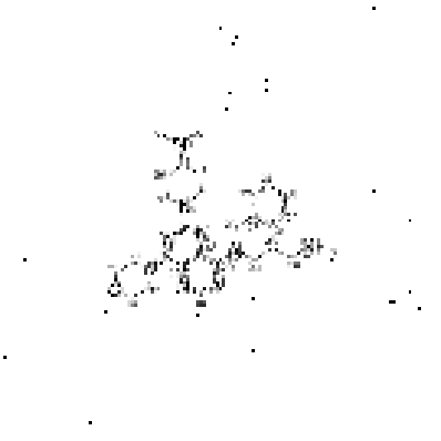 CN(C)C1CCN(c2nc(N3CCOCC3)c3ncnc(N(CCCN)Cc4ccccc4)c3n2)CC1